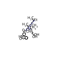 C=C\C(=C/C=C(C)/C=N/C(C=C)=C(/C=C(\C)C(=O)N1CCC2(CC1)NC(=O)Cc1ccccc12)\N=C(/C)CCCCC(O)O)CC